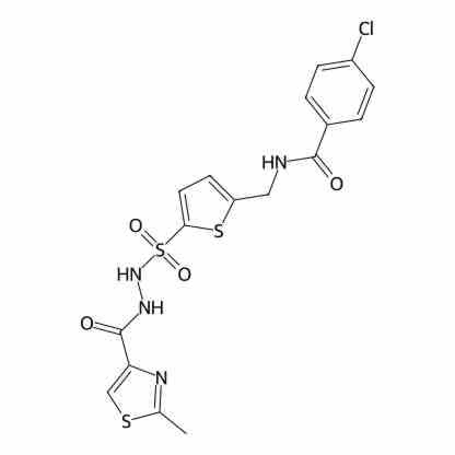 Cc1nc(C(=O)NNS(=O)(=O)c2ccc(CNC(=O)c3ccc(Cl)cc3)s2)cs1